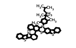 Cc1cc(C(C)(C)CCC(C)C)c(C)cc1N1c2cc3c(cc2Sc2c1cc1ccccc1c2C1=CCCc2c1[nH]c1c2sc2ccccc21)sc1ccccc13